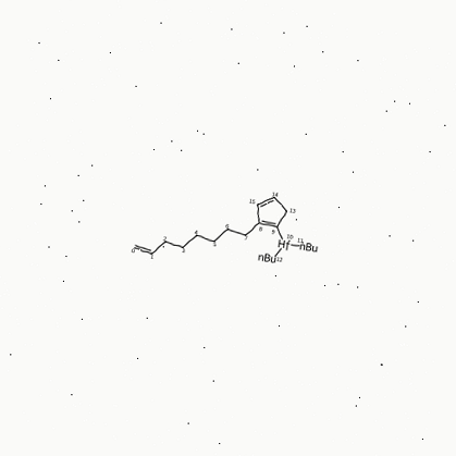 C=CCCCCCCC1=[C]([Hf]([CH2]CCC)[CH2]CCC)CC=C1